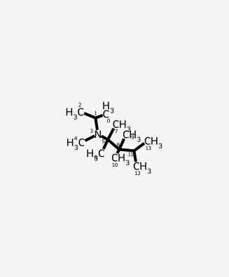 CC(C)N(C)C(C)(C)C(C)(C)C(C)C